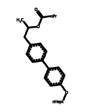 CCCCCCCOc1ccc(-c2ccc(CC(C)OC(=O)CCC)cc2)cc1